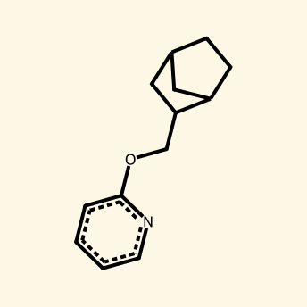 c1ccc(OCC2CC3CCC2C3)nc1